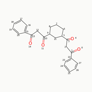 O=C(CC(=O)C1CCCC(C(=O)CC(=O)c2ccccc2)C1)c1ccccc1